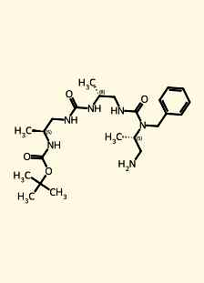 C[C@H](CNC(=O)N(Cc1ccccc1)[C@@H](C)CN)NC(=O)NC[C@H](C)NC(=O)OC(C)(C)C